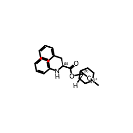 C[N+]12CCC(CC1)[C@@H](OC(=O)[C@H](Cc1ccccc1)Nc1ccccc1)C2